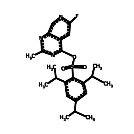 Cc1nc(OS(=O)(=O)c2c(C(C)C)cc(C(C)C)cc2C(C)C)c2cc(F)ncc2n1